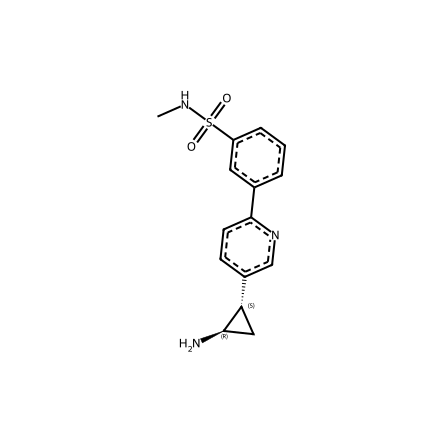 CNS(=O)(=O)c1cccc(-c2ccc([C@@H]3C[C@H]3N)cn2)c1